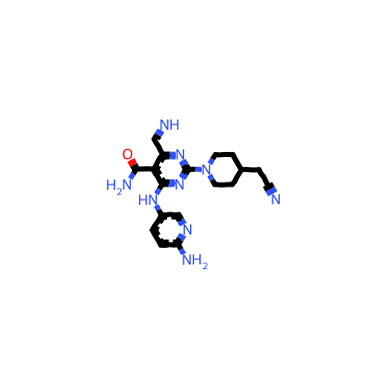 N#CCC1CCN(c2nc(C=N)c(C(N)=O)c(Nc3ccc(N)nc3)n2)CC1